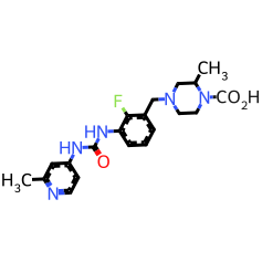 Cc1cc(NC(=O)Nc2cccc(CN3CCN(C(=O)O)C(C)C3)c2F)ccn1